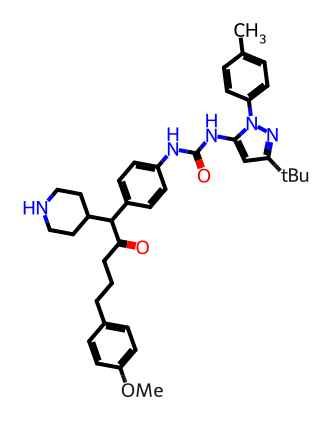 COc1ccc(CCCC(=O)C(c2ccc(NC(=O)Nc3cc(C(C)(C)C)nn3-c3ccc(C)cc3)cc2)C2CCNCC2)cc1